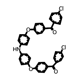 O=C(c1ccc(Cl)cc1)c1ccc(Oc2ccc(Nc3ccc(Oc4ccc(C(=O)c5ccc(Cl)cc5)cc4)cc3)cc2)cc1